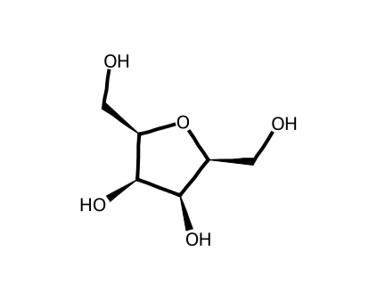 OC[C@@H]1O[C@H](CO)[C@H](O)[C@@H]1O